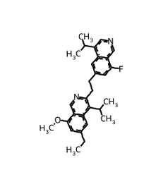 CCc1cc(OC)c2cnc(CCc3cc(F)c4cncc(C(C)C)c4c3)c(C(C)C)c2c1